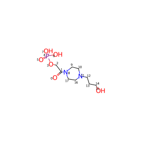 O=C(COP(=O)(O)O)N1CCN(CCCO)CC1